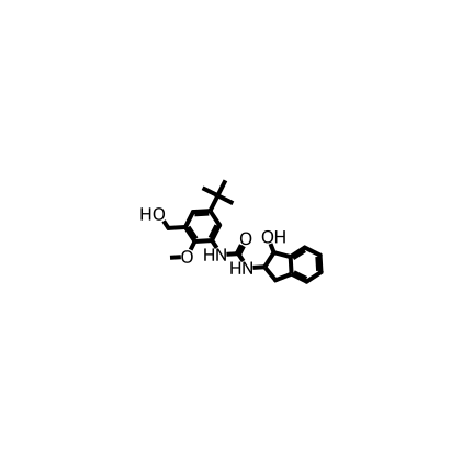 COc1c(CO)cc(C(C)(C)C)cc1NC(=O)NC1Cc2ccccc2C1O